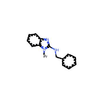 CC(C)n1c(NCc2ccccc2)nc2ccccc21